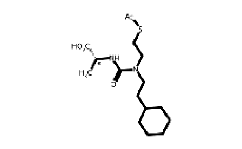 CC(=O)SCCN(CCC1CCCCC1)C(=O)N[C@H](C)C(=O)O